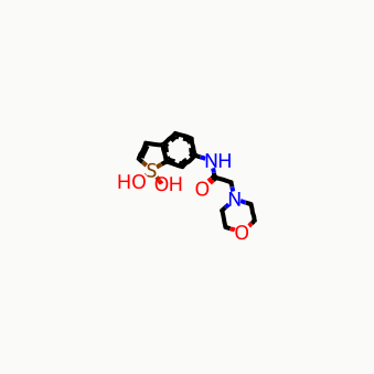 O=C(CN1CCOCC1)Nc1ccc2c(c1)S(O)(O)C=C2